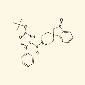 C[C@H](c1ccccc1)[C@H](NC(=O)OC(C)(C)C)C(=O)N1CCC2(CC1)CC(=O)c1ccccc12